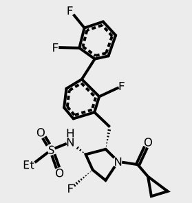 CCS(=O)(=O)N[C@H]1[C@@H](F)CN(C(=O)C2CC2)[C@H]1Cc1cccc(-c2cccc(F)c2F)c1F